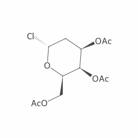 CC(=O)OC[C@H]1O[C@H](Cl)C[C@@H](OC(C)=O)[C@H]1OC(C)=O